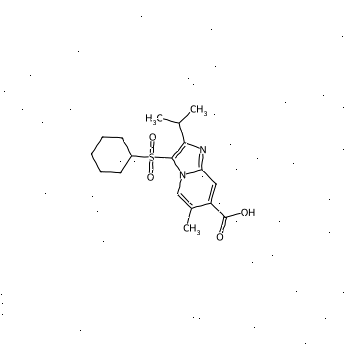 Cc1cn2c(S(=O)(=O)C3CCCCC3)c(C(C)C)nc2cc1C(=O)O